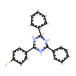 Fc1ccc(-c2nc(-c3ccccc3)nc(-c3ccccc3)n2)cc1